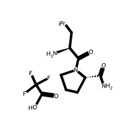 CC(C)C[C@H](N)C(=O)N1CCC[C@H]1C(N)=O.O=C(O)C(F)(F)F